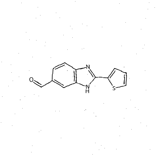 O=Cc1ccc2nc(-c3cccs3)[nH]c2c1